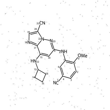 COc1ccc(C#N)cc1Nc1cc(NC2CCC2)c2ncc(C#N)n2n1